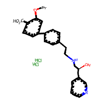 CC(C)Oc1cc(-c2ccc(CCNC[C@@H](O)c3cccnc3)cc2)ccc1C(=O)O.Cl.Cl